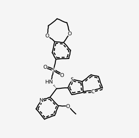 COc1cccnc1[C@H](NS(=O)(=O)c1ccc2c(c1)OCCCO2)c1cc2ccccc2s1